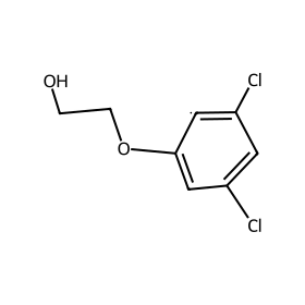 OCCOc1[c]c(Cl)cc(Cl)c1